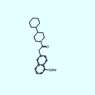 COc1cccc2cc(CC(=O)N3CCC(C4CCCCC4)CC3)ccc12